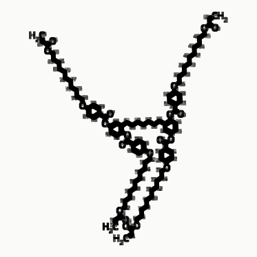 C=CC(=O)OCCCCCCCCCCCOc1ccc(C(=O)Oc2ccc(OC(=O)c3ccc(OCCCCCCCCCCCOC(=O)C=C)cc3)c(CCCCCCCc3cc(OC(=O)c4ccc(OCCCCCCCCCCCOC(=O)C=C)cc4)ccc3OC(=O)c3ccc(OCCCCCCCCCCCOC(=O)C=C)cc3)c2)cc1